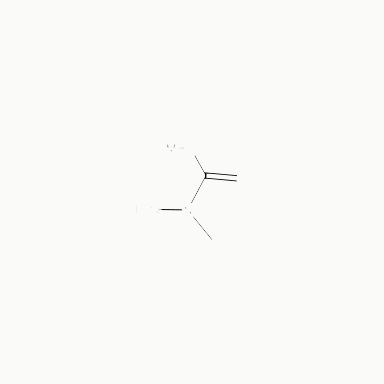 COC(=O)N(C)[SiH3]